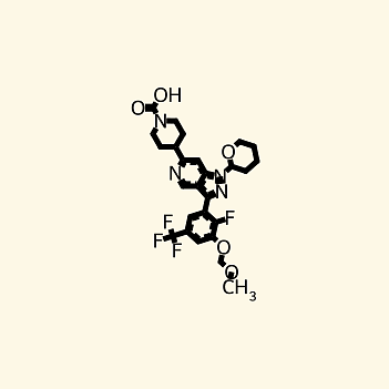 COCOc1cc(C(F)(F)F)cc(-c2nn(C3CCCCO3)c3cc(C4CCN(C(=O)O)CC4)ncc23)c1F